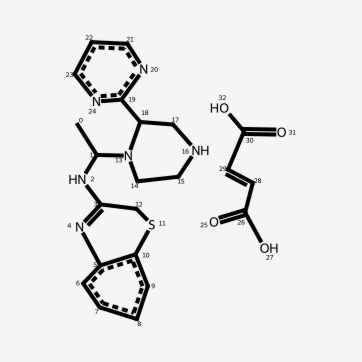 CC(NC1=Nc2ccccc2SC1)N1CCNCC1c1ncccn1.O=C(O)C=CC(=O)O